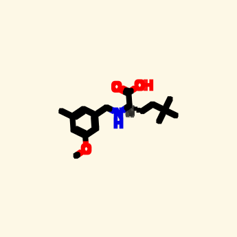 COc1cc(C)cc(CN[C@@H](CCC(C)(C)C)C(=O)O)c1